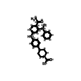 CCC(=O)N1CCC(c2ccc(Nc3cc(N(CC)c4ccccc4)c(C(N)=O)cn3)cc2)CC1